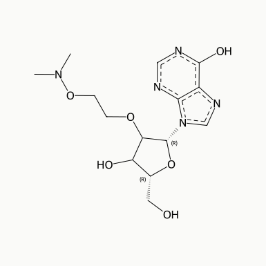 CN(C)OCCOC1C(O)[C@@H](CO)O[C@H]1n1cnc2c(O)ncnc21